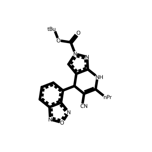 CCCC1=C(C#N)C(c2cccc3nonc23)c2cn(C(=O)OC(C)(C)C)nc2N1